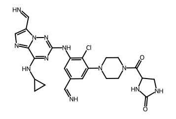 N=Cc1cc(Nc2nc(NC3CC3)c3ncc(C=N)n3n2)c(Cl)c(N2CCN(C(=O)C3CNC(=O)N3)CC2)c1